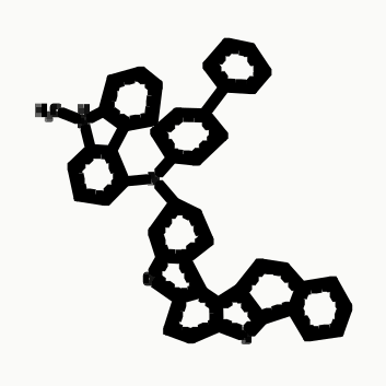 C[SiH]1c2ccccc2-c2c(N(c3ccc(-c4ccccc4)cc3)c3ccc4c(c3)oc3ccc5sc6c7ccccc7ccc6c5c34)cccc21